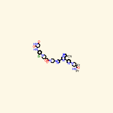 CCC1(C(=O)NC(C)C)CCN(c2ccc(-c3nc(-c4cnn(C5CCN(C(=O)CC6(O)CCN(c7ccc(NC8CCC(=O)NC8=O)cc7Br)CC6)CC5)c4)cn4ncc(C#N)c34)cn2)CC1